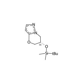 CC(C)(C)[Si](C)(C)O[C@@H]1COc2ccnn2C1